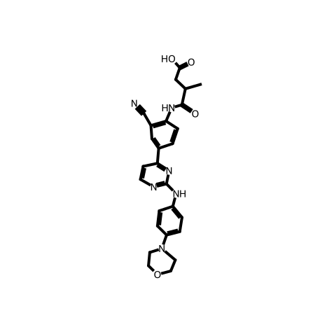 CC(CC(=O)O)C(=O)Nc1ccc(-c2ccnc(Nc3ccc(N4CCOCC4)cc3)n2)cc1C#N